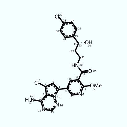 COc1ncc(-c2cc(Cl)c3c(N)ncnn23)cc1C(=O)NCC[C@@H](O)c1ccc(Cl)cc1